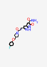 NC(=O)c1cc2cc(/C=C/C(=O)N3CCC(COc4ccc(F)cc4)CC3)cnc2[nH]c1=O